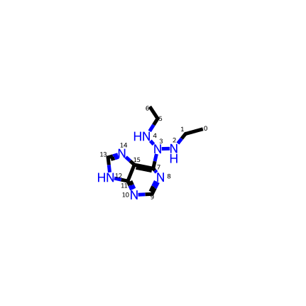 CCNN(NCC)c1ncnc2[nH]cnc12